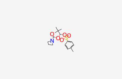 Cc1ccc(S(=O)(=O)OC(OC(=O)N2CCC2)C(C)(C)C)cc1